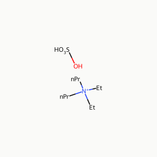 CCC[N+](CC)(CC)CCC.O=S(=O)(O)O